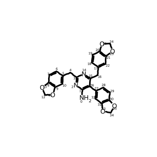 Nc1nc(Cc2ccc3c(c2)OCO3)nc(Cc2ccc3c(c2)OCO3)c1-c1ccc2c(c1)OCO2